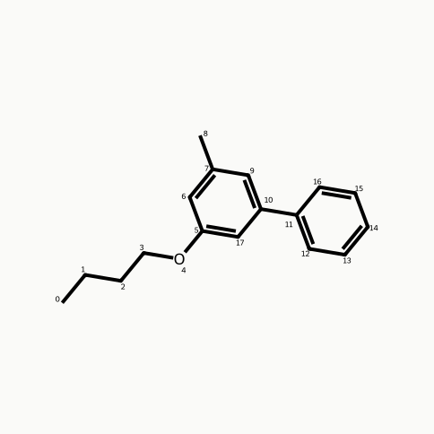 CCCCOc1cc(C)cc(-c2ccccc2)c1